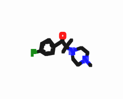 CN1CCN(C(C)(C)C(=O)c2ccc(F)cc2)CC1